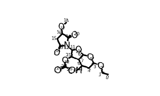 CCOC1CC(C)C2C(O1)OC(N1C(=O)CC(OC)C1=O)C2OC(=O)O